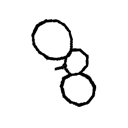 CN1C2CCCCCCCCCCCC2CCCC2CCCCCCCCCC21